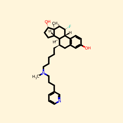 CN(CCCCC[C@@H]1Cc2cc(O)ccc2[C@@H]2[C@@H]1[C@@H]1CC[C@H](O)[C@@]1(C)C[C@@H]2F)CCCc1cccnc1